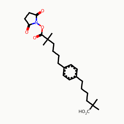 CC(C)(CCCCc1ccc(CCCCC(C)(C)C(=O)ON2C(=O)CCC2=O)cc1)C(=O)O